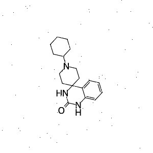 O=C1Nc2ccccc2C2(CCN(C3CCCCC3)CC2)N1